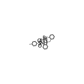 Cc1ccc(S(=O)(=O)Nc2ccccc2C(=N)Cc2ccccc2Br)cc1